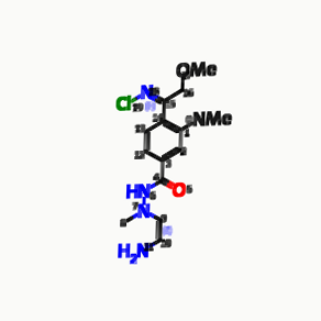 CNc1cc(C(=O)NN(C)/C=C\N)ccc1/C(COC)=N\Cl